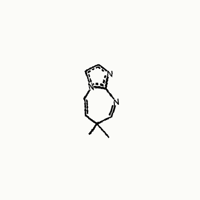 CC1(C)C=Cn2ccnc2N=C1